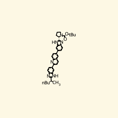 CCCC[C@H](C)c1nc2ccc(-c3ccc4cc(-c5ccc6nc([C@@H]7CCCN7C(=O)OC(C)(C)C)[nH]c6c5)ccc4n3)cc2[nH]1